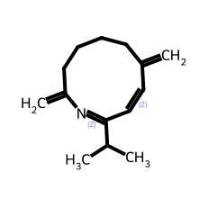 C=C1/C=C\C(C(C)C)=N/C(=C)CCCC1